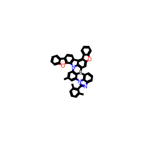 Cc1cc2c3c(c1)-n1c4c(cc5oc6ccccc6c5c4c4ccc5c6ccccc6oc5c41)B3c1cccc3nc(-c4c(C)cccc4C)n-2c13